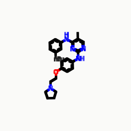 CCCCc1cccc(Nc2nc(Nc3ccc(OCCN4CCCC4)cc3)ncc2C)c1